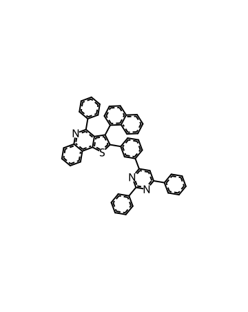 c1ccc(-c2cc(-c3cccc(-c4sc5c(c(-c6ccccc6)nc6ccccc65)c4-c4cccc5ccccc45)c3)nc(-c3ccccc3)n2)cc1